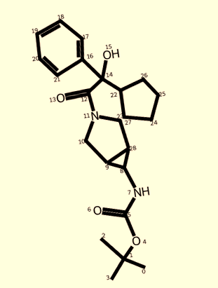 CC(C)(C)OC(=O)NC1C2CN(C(=O)C(O)(c3ccccc3)C3CCCC3)CC21